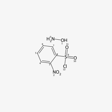 NO.O=[N+]([O-])c1ccccc1S(=O)(=O)Cl